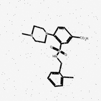 Cc1ccccc1CNS(=O)(=O)c1cc(C(=O)O)ccc1N1CCN(C)CC1